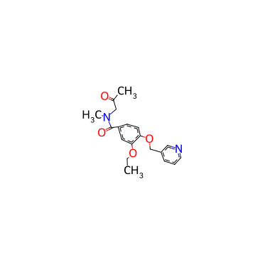 CCOc1cc(C(=O)N(C)CC(C)=O)ccc1OCc1cccnc1